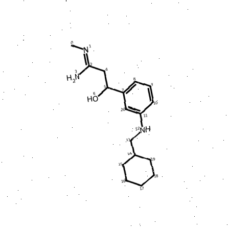 C/N=C(\N)CC(O)c1cccc(NCC2CCCCC2)c1